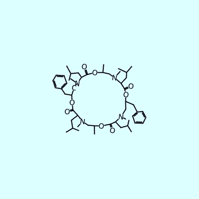 CC(C)CC1C(=O)OC(C)CN(C)C(CC(C)C)C(=O)OC(Cc2ccccc2)CN(C)C(CC(C)C)C(=O)OC(C)CN(C)C(CC(C)C)C(=O)OC(Cc2ccccc2)CN1C